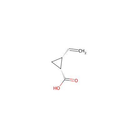 C=C[C@H]1C[C@H]1C(=O)O